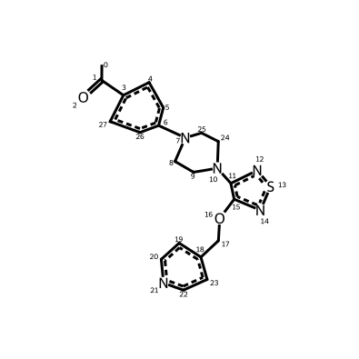 CC(=O)c1ccc(N2CCN(c3nsnc3OCc3ccncc3)CC2)cc1